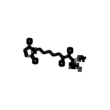 CC(C)[C@H](N)C(=O)C(=O)CCCCCN1C(=O)C=CC1=O